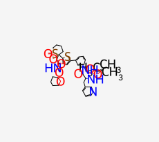 CC(C)(C)OC(=O)NC(Cc1cccnc1)C(=O)Nc1cccc(-c2ccc([C@@]3(CC(=O)NOC4CCCCO4)CCCCS3(=O)=O)s2)c1